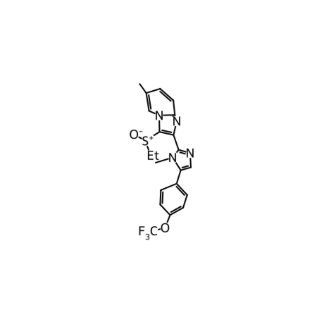 CC[S+]([O-])c1c(-c2ncc(-c3ccc(OC(F)(F)F)cc3)n2C)nc2ccc(C)cn12